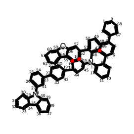 c1ccc(-c2ccc(-c3ccccc3N(c3ccc(-c4ccc(-c5cccc(-n6c7ccccc7c7ccccc76)c5)cc4)cc3)c3ccccc3-c3ccc4c(c3)oc3ccccc34)cc2)cc1